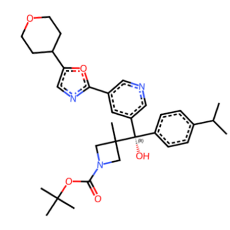 CC(C)c1ccc([C@](O)(c2cncc(-c3ncc(C4CCOCC4)o3)c2)C2(C)CN(C(=O)OC(C)(C)C)C2)cc1